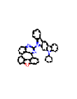 c1ccc(-n2c3ccccc3c3cc4c5ccccc5n(-c5nc(-c6cccc7oc8ccccc8c67)c6ccccc6n5)c4cc32)cc1